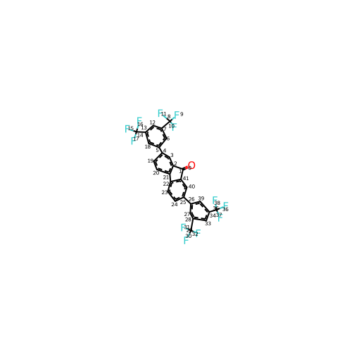 O=C1c2cc(-c3cc(C(F)(F)F)cc(C(F)(F)F)c3)ccc2-c2ccc(-c3cc(C(F)(F)F)cc(C(F)(F)F)c3)cc21